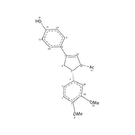 COc1ccc([C@@H]2CC(c3ccc(O)cc3)=CC2C(C)=O)cc1OC